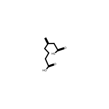 C=C(CCCC(=O)O)CC(=O)S